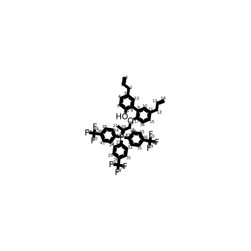 C=CCc1ccc(O)c(-c2cc(CC=C)ccc2OCC(C)=P(c2ccc(C(F)(F)F)cc2)(c2ccc(C(F)(F)F)cc2)c2ccc(C(F)(F)F)cc2)c1